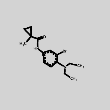 CCN(CC)c1ccc(NC(=O)C2(C)CC2)cc1Br